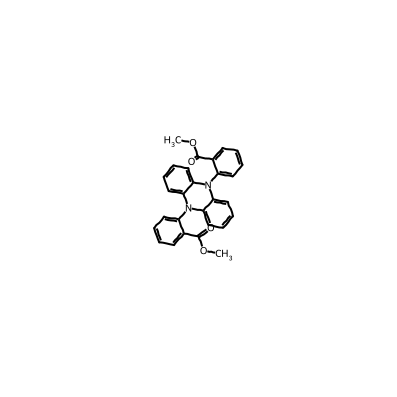 COC(=O)c1ccccc1N1c2ccccc2N(c2ccccc2C(=O)OC)c2ccccc21